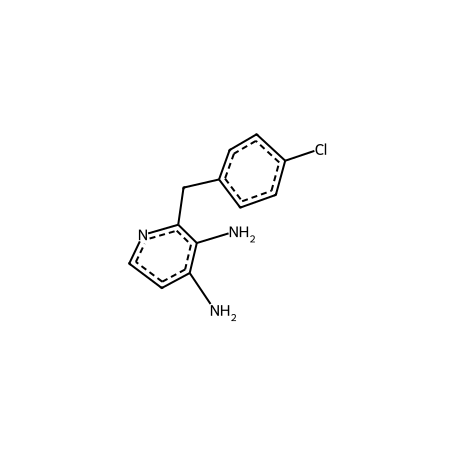 Nc1ccnc(Cc2ccc(Cl)cc2)c1N